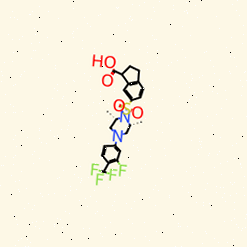 C[C@@H]1CN(c2ccc(C(F)(F)F)c(F)c2)C[C@H](C)N1S(=O)(=O)c1ccc2c(c1)C(C(=O)O)CC2